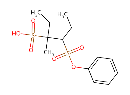 CCC(C(C)(CC)S(=O)(=O)O)S(=O)(=O)Oc1ccccc1